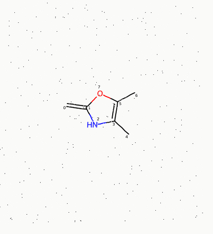 C=C1NC(C)=C(C)O1